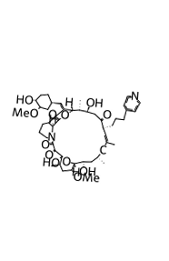 CO[C@H]1C[C@@H](C)[C@@]2(O)O[C@@H]1[C@@H](O)C[C@@H](C)C/C(C)=C/[C@@H](CCCc1ccncc1)C(=O)C[C@H](O)[C@@H](C)[C@@H]1OC(=O)[C@@H]3C(CCCN3C(=O)C2=O)/C1=C\[C@@H]1CC[C@@H](O)[C@H](OC)C1